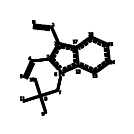 C=Cc1c(C=C)n(CC(C)(C)C)c2ccccc12